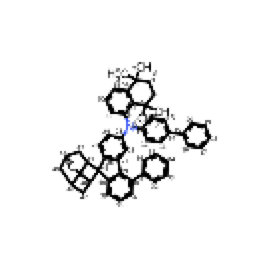 CC1(C)CCC(C)(C)c2c(N(c3ccc(-c4ccccc4)cc3)c3ccc4c(c3)-c3c(-c5ccccc5)cccc3C43C4CC5CC6CC3C64C5)cccc21